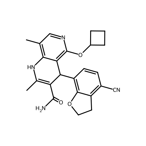 CC1=C(C(N)=O)C(c2ccc(C#N)c3c2OCC3)c2c(OC3CCC3)ncc(C)c2N1